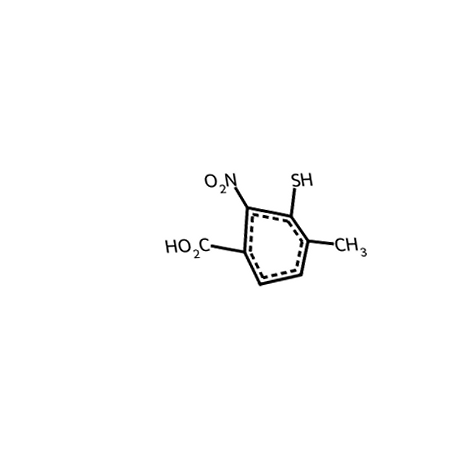 Cc1ccc(C(=O)O)c([N+](=O)[O-])c1S